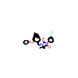 CC1(C)C(=O)N(c2cccc(F)c2)C(=O)N1Cc1ccccc1Oc1ccccc1